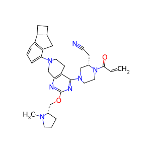 C=CC(=O)N1CCN(c2nc(OC[C@@H]3CCCN3C)nc3c2CCN(c2cccc4c2CC2CCC42)C3)C[C@@H]1CC#N